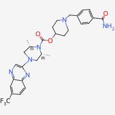 C[C@@H]1CN(c2cnc3cc(C(F)(F)F)ccc3n2)C[C@H](C)N1C(=O)OC1CCN(Cc2ccc(C(N)=O)cc2)CC1